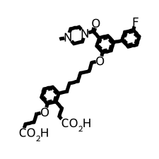 CN1CCN(C(=O)c2cc(OCCCCCCc3cccc(OCCCC(=O)O)c3CCC(=O)O)cc(-c3cccc(F)c3)c2)CC1